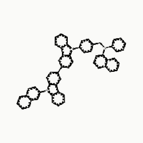 c1ccc(N(Cc2ccc(-n3c4ccccc4c4cc(-c5ccc6c(c5)c5ccccc5n6-c5ccc6ccccc6c5)ccc43)cc2)c2cccc3ccccc23)cc1